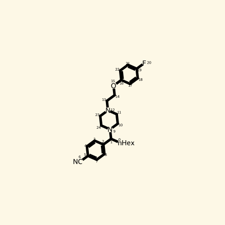 CCCCCCC(c1ccc(C#N)cc1)N1CCN(CCOc2ccc(F)cc2)CC1